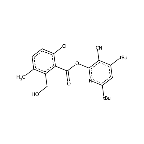 Cc1ccc(Cl)c(C(=O)Oc2nc(C(C)(C)C)cc(C(C)(C)C)c2C#N)c1CO